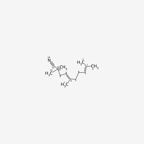 CC(C)=CCCC(C)=CCC(C)(C)C#N